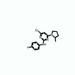 CCc1cc(N2CCCC2C)nc(Nc2ccc(F)cc2)n1